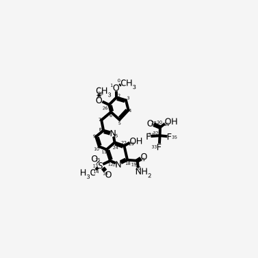 COc1cccc(Cc2ccc3c(S(C)(=O)=O)nc(C(N)=O)c(O)c3n2)c1OC.O=C(O)C(F)(F)F